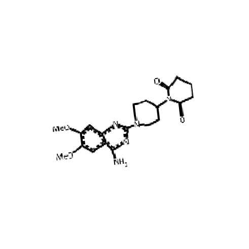 COc1cc2nc(N3CCC(N4C(=O)CCCC4=O)CC3)nc(N)c2cc1OC